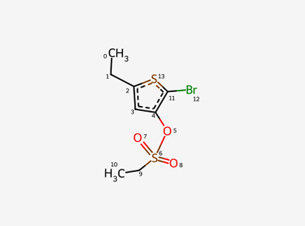 CCc1cc(OS(=O)(=O)CC)c(Br)s1